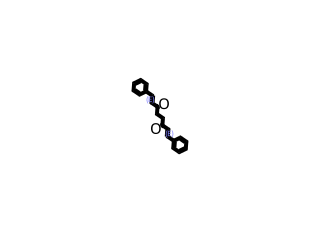 O=C(/C=C/c1ccccc1)CCC(=O)/C=C/c1ccccc1